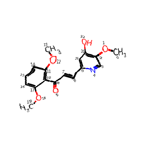 COc1cnc(C=CC(=O)c2c(OC)cccc2OC)cc1O